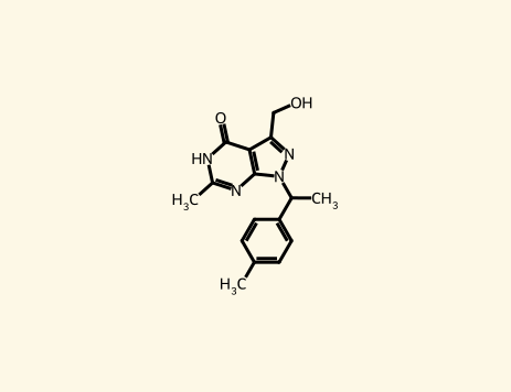 Cc1ccc(C(C)n2nc(CO)c3c(=O)[nH]c(C)nc32)cc1